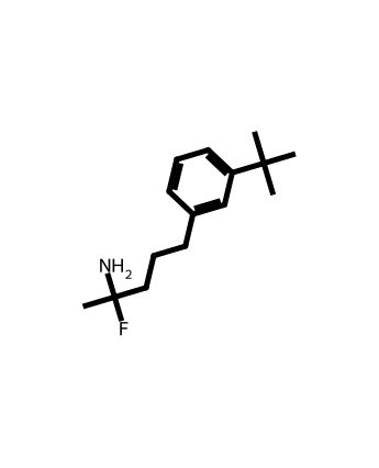 CC(N)(F)CCCc1cccc(C(C)(C)C)c1